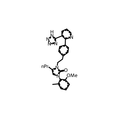 CCCc1cn(-c2c(C)cccc2OC)c(=O)n1CCc1ccc(-c2ncccc2-c2nnn[nH]2)cc1